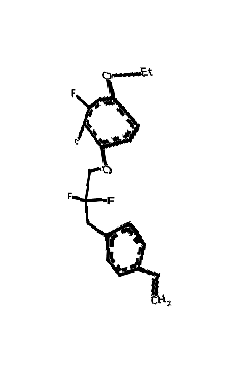 C=Cc1ccc(CC(F)(F)COc2ccc(OCC)c(F)c2F)cc1